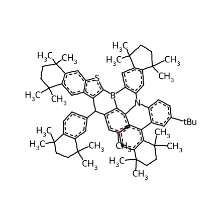 Cc1cc2c3c(c1)N(c1ccc(C(C)(C)C)cc1-c1cccc4c1C(C)(C)CCC4(C)C)c1cc4c(cc1B3c1sc3cc5c(cc3c1C2c1ccc2c(c1)C(C)(C)CCC2(C)C)C(C)(C)CCC5(C)C)C(C)(C)CCC4(C)C